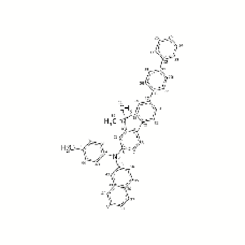 Cc1ccc(N(c2ccc3c(c2)C(C)(C)c2cc(-c4ccc(-c5ccccc5)cc4)ccc2-3)c2ccc3ccccc3c2)cc1